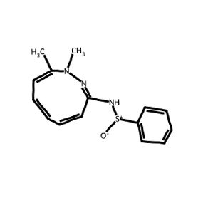 Cc1cccccc(N[S+]([O-])c2ccccc2)nn1C